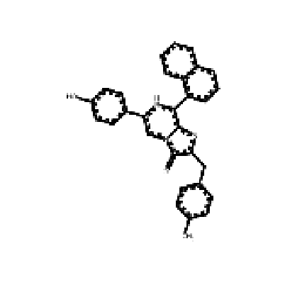 Cc1ccc(Cc2nc3c(-c4cccc5ccccc45)[nH]c(-c4ccc(O)cc4)cn-3c2=O)cc1